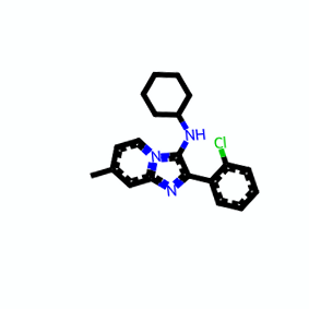 Cc1ccn2c(NC3CCCCC3)c(-c3ccccc3Cl)nc2c1